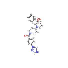 O=C(c1ccc(-n2cncn2)cc1)N1CCC(N2CCC[C@@](O)(c3ccccc3)C2)CC1